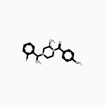 CC(c1ccccc1F)N1CCN(C(=O)c2ccc(N)cc2)[C@H](C)C1